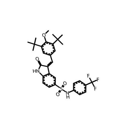 COc1c(C(C)(C)C)cc(C=C2C(=O)Nc3ccc(S(=O)(=O)Nc4ccc(C(F)(F)F)cc4)cc32)cc1C(C)(C)C